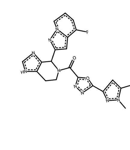 Cc1cc(-c2nnc(C(=O)N3CCc4[nH]cnc4C3c3cc4c(F)cccn4n3)o2)nn1C